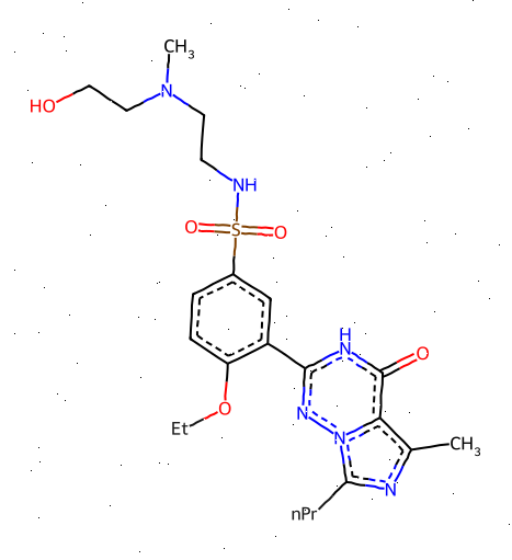 CCCc1nc(C)c2c(=O)[nH]c(-c3cc(S(=O)(=O)NCCN(C)CCO)ccc3OCC)nn12